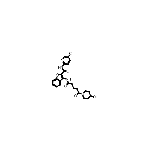 O=C(CCCC(=O)N1CCC(O)CC1)Nc1c(C(=O)Nc2ccc(Cl)cn2)oc2ccccc12